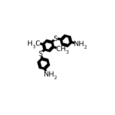 Cc1cc(Sc2ccc(N)cc2)c(C)cc1Sc1ccc(N)cc1